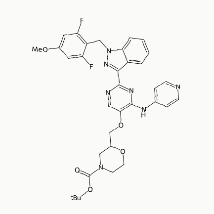 COc1cc(F)c(Cn2nc(-c3ncc(OCC4CN(C(=O)OC(C)(C)C)CCO4)c(Nc4ccncc4)n3)c3ccccc32)c(F)c1